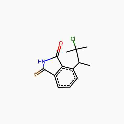 CC(c1cccc2c1C(=O)NC2=S)C(C)(C)Cl